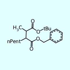 CCCCCC(C(=O)OCc1ccccc1)C(C)C(=O)OC(C)(C)C